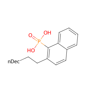 CCCCCCCCCCCCc1ccc2ccccc2c1P(=O)(O)O